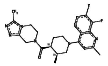 Cc1cc(N2CC[C@H](C(=O)N3CCn4c(nnc4C(F)(F)F)C3)[C@H](C)C2)c2ccc(F)c(F)c2n1